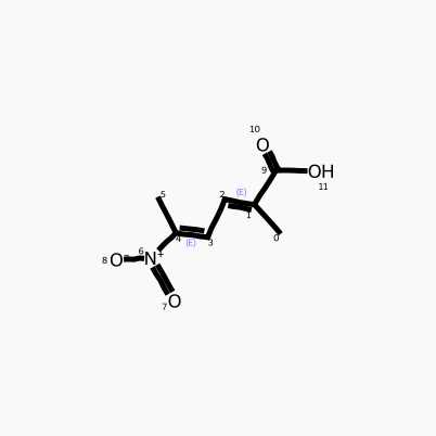 C/C(=C\C=C(/C)[N+](=O)[O-])C(=O)O